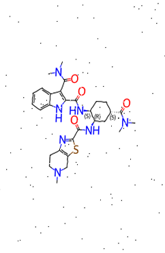 CN1CCc2nc(C(=O)N[C@@H]3C[C@@H](C(=O)N(C)C)CC[C@@H]3NC(=O)c3[nH]c4ccccc4c3C(=O)N(C)C)sc2C1